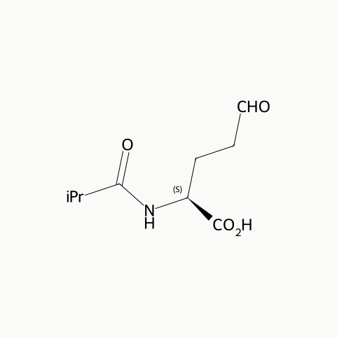 CC(C)C(=O)N[C@@H](CCC=O)C(=O)O